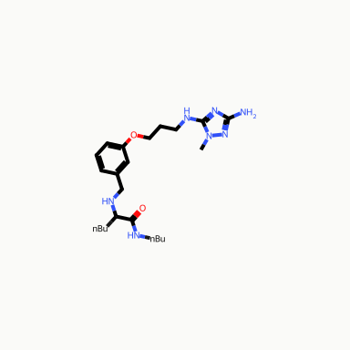 CCCCNC(=O)C(CCCC)NCc1cccc(OCCCNc2nc(N)nn2C)c1